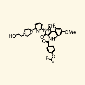 COc1cc(F)c(-c2c(NC(=O)c3ccc(OC(F)F)cc3)c(=O)n(-c3cccc(N4CCN(CCO)CC4)n3)n2C)c(F)c1